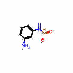 Nc1cccc(N[SH](=O)=O)c1